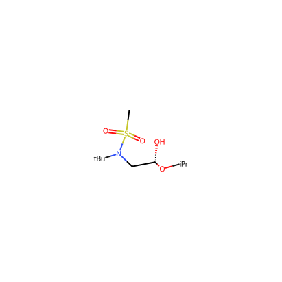 CC(C)O[C@@H](O)CN(C(C)(C)C)S(C)(=O)=O